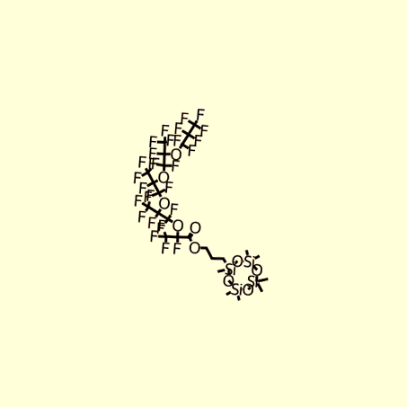 C[Si]1(C)O[Si](C)(C)O[Si](C)(CCCOC(=O)C(F)(OC(F)(F)C(F)(OC(F)(F)C(F)(OC(F)(F)C(F)(OC(F)(F)C(F)(F)C(F)(F)F)C(F)(F)F)C(F)(F)F)C(F)(F)F)C(F)(F)F)O[Si](C)(C)O1